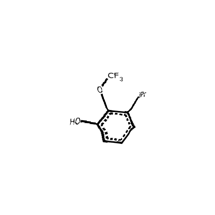 [CH2]C(C)c1cccc(O)c1OC(F)(F)F